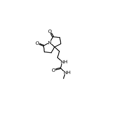 CNC(=O)NCCC12CCC(=O)N1C(=O)CC2